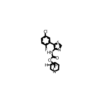 O=C(Nc1ncsc1-c1cc(Cl)ccc1F)O[C@H]1CN2CCC1CC2